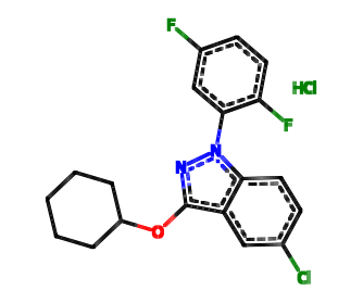 Cl.Fc1ccc(F)c(-n2nc(OC3CCCCC3)c3cc(Cl)ccc32)c1